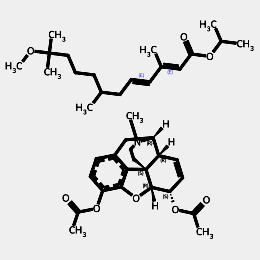 CC(=O)Oc1ccc2c3c1O[C@H]1[C@@H](OC(C)=O)C=C[C@H]4[C@@H](C2)N(C)CC[C@@]341.COC(C)(C)CCCC(C)C/C=C/C(C)=C/C(=O)OC(C)C